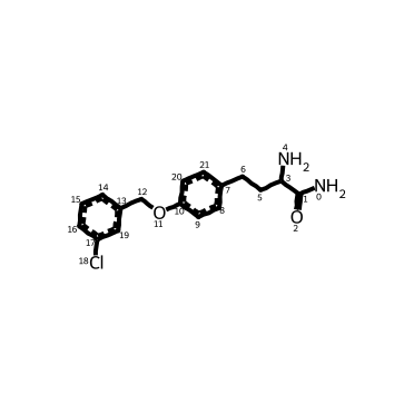 NC(=O)C(N)CCc1ccc(OCc2cccc(Cl)c2)cc1